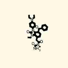 CCN(CC)c1ccc(-n2c(=O)n(CC)c3c(CC(=O)N(C)C(N)=O)ccc(C(=O)c4ccccc4)c32)cc1